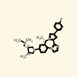 C[C@@H]1CN(c2ccc3c(c2)[C@H](C)n2cc(-c4ccc(F)cc4)cc2-c2nccn2-3)C[C@H]1CN(C)C